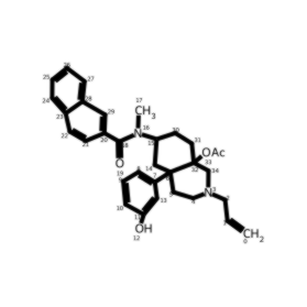 C=CCN1CCC2(c3cccc(O)c3)CC(N(C)C(=O)c3ccc4ccccc4c3)CCC2(OC(C)=O)C1